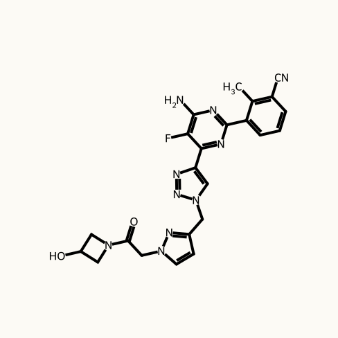 Cc1c(C#N)cccc1-c1nc(N)c(F)c(-c2cn(Cc3ccn(CC(=O)N4CC(O)C4)n3)nn2)n1